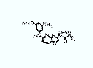 CCNC(=O)N(S)c1cnc2ccc(Nc3cc(N)cc(OC)c3)nc2n1